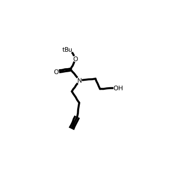 C#CCCN(CCO)C(=O)OC(C)(C)C